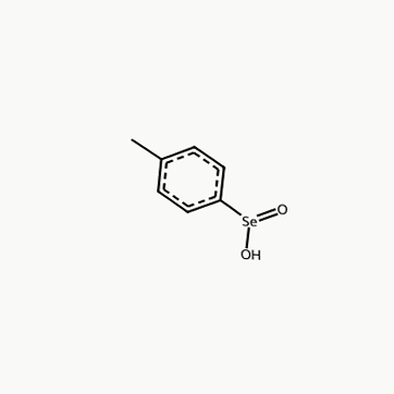 Cc1ccc([Se](=O)O)cc1